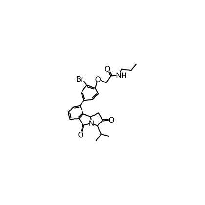 CCCNC(=O)COc1ccc(-c2cccc3c2C2CC(=O)C(C(C)C)N2C3=O)cc1Br